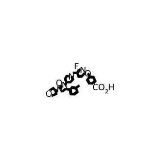 Cc1cccc(C2CN(C3CCOCC3)C(=O)N2C2CCN(Cc3ccc(Oc4ccc(C(=O)O)cc4)nc3F)CC2)c1